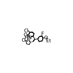 CCOc1ccc(/C(=C/[C@H]2CCC(=O)N2)c2ccc(Cl)c(=O)[nH]2)cc1F